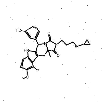 COc1ccc2[nH]c3c(c2c1F)CC1(C)C(=O)N(CCCNC2CC2)C(=O)N1C3c1cccc(O)c1